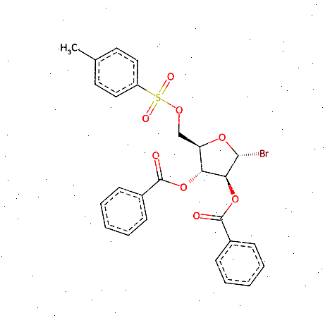 Cc1ccc(S(=O)(=O)OC[C@H]2O[C@H](Br)[C@@H](OC(=O)c3ccccc3)[C@@H]2OC(=O)c2ccccc2)cc1